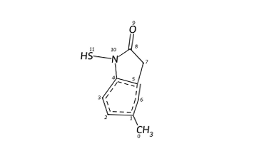 Cc1ccc2c(c1)CC(=O)N2S